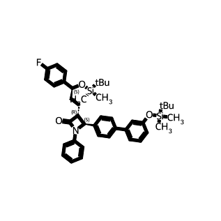 CC(C)(C)[Si](C)(C)Oc1cccc(-c2ccc([C@@H]3[C@@H](CC[C@H](O[Si](C)(C)C(C)(C)C)c4ccc(F)cc4)C(=O)N3c3ccccc3)cc2)c1